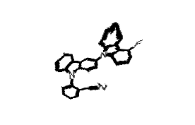 N#CC1=CCCC=C1N1C2=C(CCC=C2)C2C=C(n3c4c(c5ccccc53)C(F)CC=C4)C=CC21